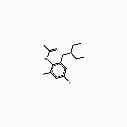 CCN(CC)Cc1cc(Br)cc(C)c1NC(C)=O